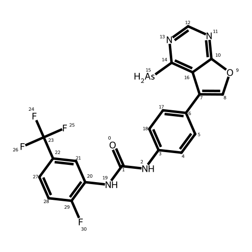 O=C(Nc1ccc(-c2coc3ncnc([AsH2])c23)cc1)Nc1cc(C(F)(F)F)ccc1F